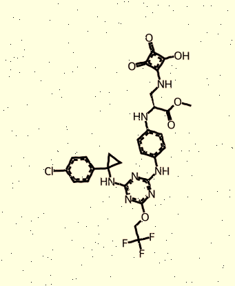 COC(=O)[C@H](CNc1c(O)c(=O)c1=O)Nc1ccc(Nc2nc(NC3(c4ccc(Cl)cc4)CC3)nc(OCC(F)(F)F)n2)cc1